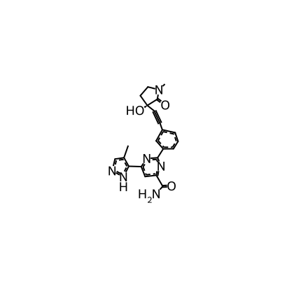 Cc1cn[nH]c1-c1cc(C(N)=O)nc(-c2cccc(C#C[C@]3(O)CCN(C)C3=O)c2)n1